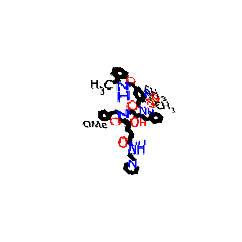 COc1cccc(CN(CC(O)C(Cc2ccccc2)NC(=O)c2cc(C(=O)NC(C)c3ccccc3)cc(N(C)S(C)(=O)=O)c2)C(=O)CCCC(=O)NCCN2CCCCC2)c1